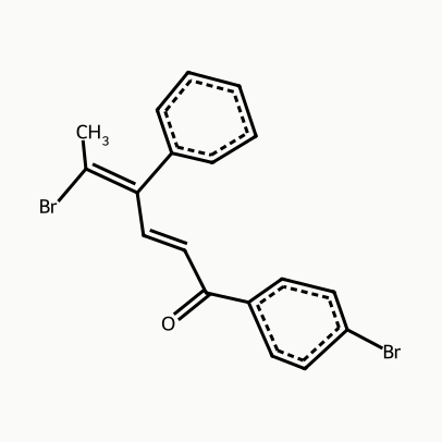 C/C(Br)=C(/C=C/C(=O)c1ccc(Br)cc1)c1ccccc1